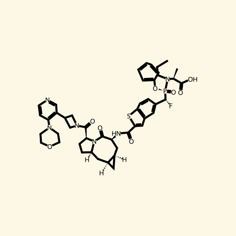 CCCN([C@@H](C)C(=O)O)[P@](=O)(Oc1ccccc1)[C@H](F)c1ccc2sc(C(=O)N[C@H]3C[C@H]4C[C@H]4C[C@H]4CC[C@@H](C(=O)N5CC(c6cnccc6N6CCOCC6)C5)N4C3=O)cc2c1